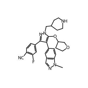 Cn1ncc2cc(-c3c(-c4ccc(C#N)c(F)c4)nn(CC4CCNCC4)c3OC3CCOC3)ccc21